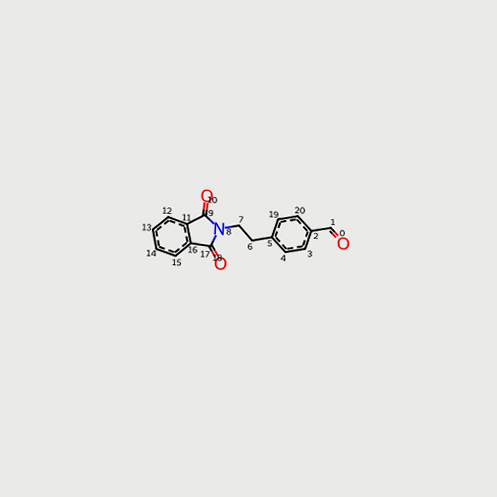 O=Cc1ccc(CCN2C(=O)c3ccccc3C2=O)cc1